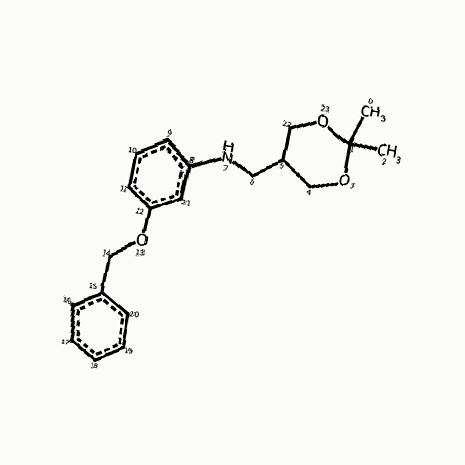 CC1(C)OCC(CNc2cccc(OCc3ccccc3)c2)CO1